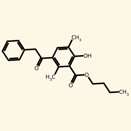 CCCCOC(=O)c1c(C)c(C(=O)Cc2ccccc2)cc(C)c1O